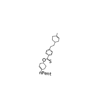 CCCCCC1=CCC(OC(=S)c2ccc(CCC3CC=C(C)CC3)cc2)CC1